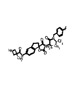 CC(C(=O)N(Cc1ccc(F)cc1)[C@@H](C)C(F)(F)F)N1C(=O)OC2(CCc3cc(NC(=O)C4(C)CNC4)ccc32)C1=O